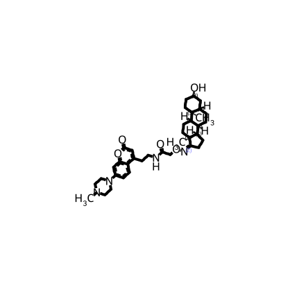 CN1CCN(c2ccc3c(CCNC(=O)CO/N=C4/CC[C@H]5[C@@H]6CC[C@H]7C[C@H](O)CC[C@]7(C)[C@H]6CC[C@]45C)cc(=O)oc3c2)CC1